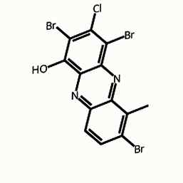 Cc1c(Br)ccc2nc3c(O)c(Br)c(Cl)c(Br)c3nc12